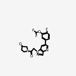 O=C1CCN(C(=O)Cn2ncc3ncc(-c4ccc(F)c(OC(F)F)c4)cc32)C1